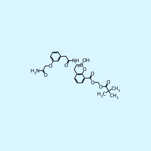 CC(C)(C)C(=O)OCOC(=O)c1cccc2c1OB(O)[C@@H](NC(=O)Cc1cccc(OCC(N)=O)c1)C2